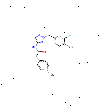 CC(C)(C)c1ccc(CC(=O)Nc2cnn(Cc3ccc(C#N)c(F)c3)n2)cc1